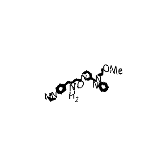 COCCCn1c(C2CCCN(C(=O)CC(N)Cc3ccc(-n4ccnc4)cc3)C2)nc2ccccc21